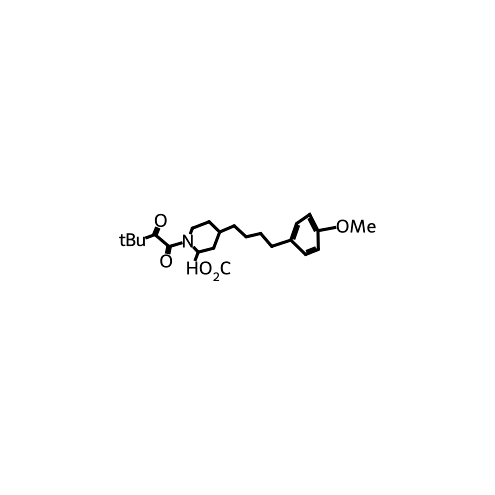 COc1ccc(CCCCC2CCN(C(=O)C(=O)C(C)(C)C)C(C(=O)O)C2)cc1